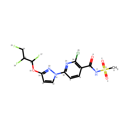 CS(=O)(=O)NC(=O)c1ccc(-n2ccc(OC(F)C(F)CF)n2)nc1Cl